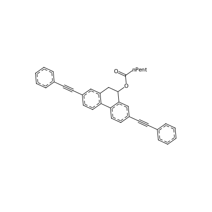 CCCCCC(=O)OC1Cc2cc(C#Cc3ccccc3)ccc2-c2ccc(C#Cc3ccccc3)cc21